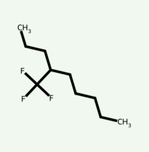 CCCCCC(CCC)C(F)(F)F